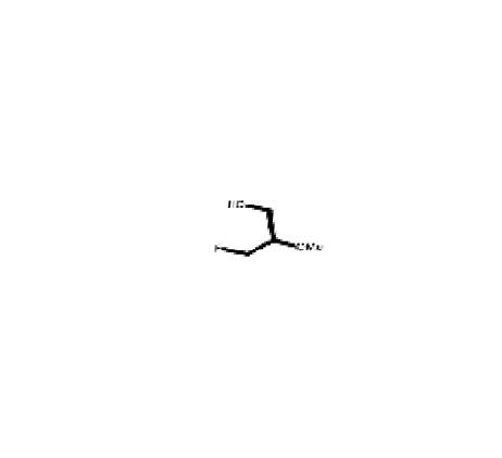 COC(CO)CF